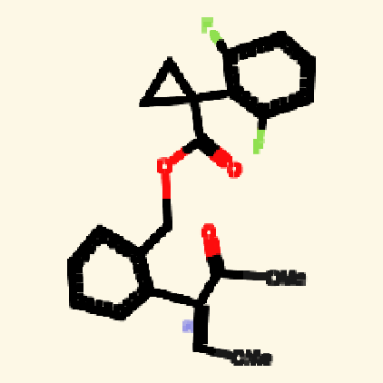 CO/C=C(\C(=O)OC)c1ccccc1COC(=O)C1(c2c(F)cccc2F)CC1